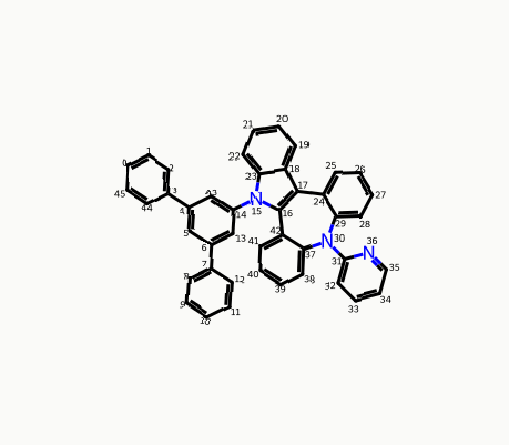 c1ccc(-c2cc(-c3ccccc3)cc(-n3c4c(c5ccccc53)-c3ccccc3N(c3ccccn3)c3ccccc3-4)c2)cc1